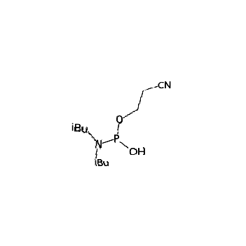 CCC(C)N(C(C)CC)P(O)OCCC#N